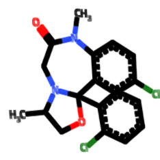 CC1COC2(c3ccccc3Cl)c3cc(Cl)ccc3N(C)C(=O)CN12